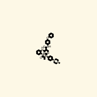 C=CC(=O)Nc1ccccc1Nc1nc(Nc2ccc(N3CCN(C)CC3)cc2)ncc1C(=O)Nc1ccc(Oc2ccccc2)cc1